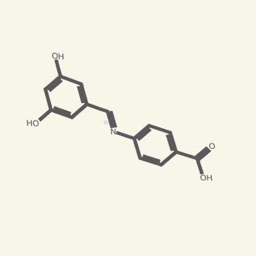 O=C(O)c1ccc(/N=C/c2cc(O)cc(O)c2)cc1